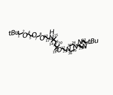 CC(C)(C)CCOCCOCCOCCNC(C)(C)CCC(C)(C)OCCN1CCN(c2cnc(C(C)(C)C)cn2)CC1